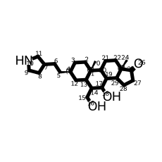 C[C@]12CC[C@H](CCC3CCNC3)CC1C(CO)C(O)C1C2CC[C@]2(C)C(=O)CCC12